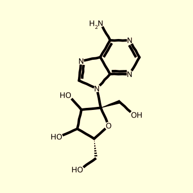 Nc1ncnc2c1ncn2[C@]1(CO)O[C@H](CO)C(O)C1O